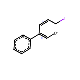 CC/C=C(\C=C/CI)c1ccccc1